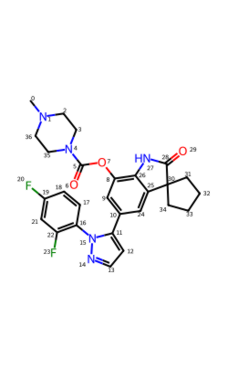 CN1CCN(C(=O)Oc2cc(-c3ccnn3-c3ccc(F)cc3F)cc3c2NC(=O)C32CCCC2)CC1